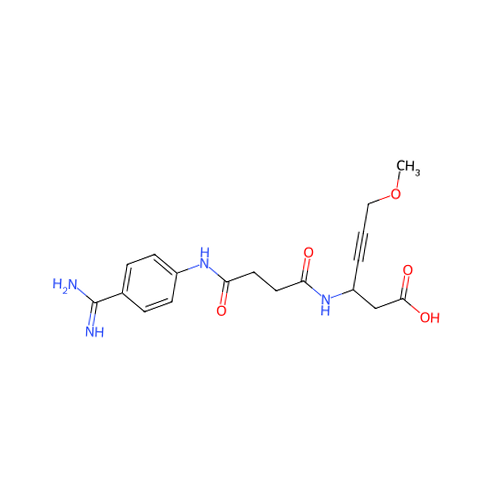 COCC#CC(CC(=O)O)NC(=O)CCC(=O)Nc1ccc(C(=N)N)cc1